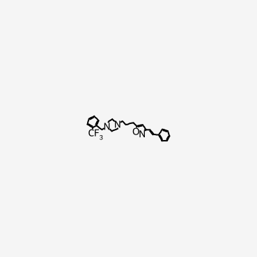 FC(F)(F)c1ccccc1CN1CCN(CCCc2cc(C=Cc3ccccc3)no2)CC1